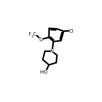 OC1CCN(c2cc(Cl)ccc2OC(F)(F)F)CC1